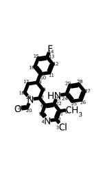 Cc1c(Cl)ncc(C2CC(c3ccc(F)cc3)CCN2C=O)c1Nc1ccccc1